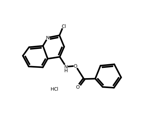 Cl.O=C(ONc1cc(Cl)nc2ccccc12)c1ccccc1